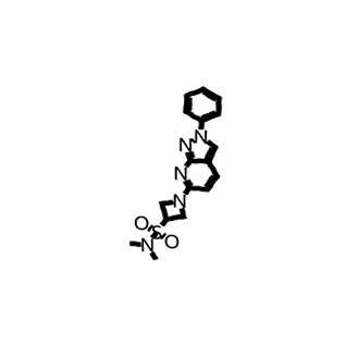 CN(C)S(=O)(=O)C1CN(c2ccc3cn(-c4ccccc4)nc3n2)C1